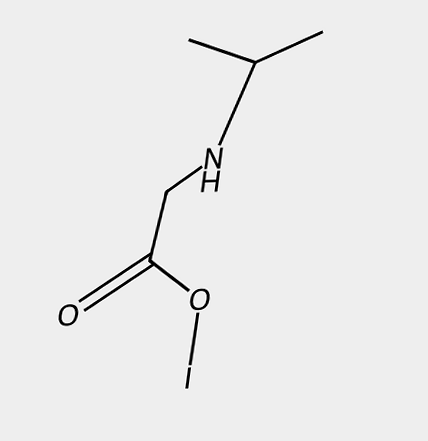 CC(C)NCC(=O)OI